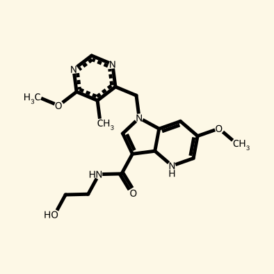 COC1=CNC2C(C(=O)NCCO)=CN(Cc3ncnc(OC)c3C)C2=C1